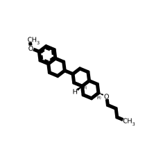 CCCCO[C@@H]1CC[C@@H]2CC(C3CCc4cc(OC)ccc4C3)CCC2C1